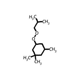 CC(C)COOC1CC(C)CC(C)(C)C1